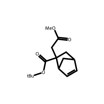 COC(=O)CC1(C(=O)OC(C)(C)C)CC2C=CC1C2